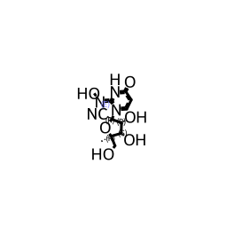 C[C@]1(CO)O[C@@](C#N)(n2ccc(=O)[nH]/c2=N\O)[C@H](O)[C@@H]1O